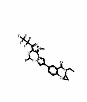 CCN(C(=O)c1cc(-c2cnn(-c3c(SC(F)F)c(C(F)(F)C(F)(F)F)nn3C)c2)ccc1Cl)C1CC1